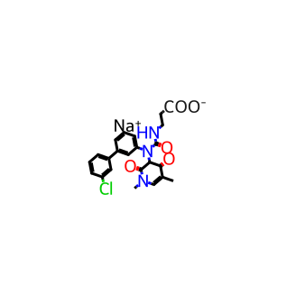 CC1=CN(C)C(=O)C(N(C(=O)NCCC(=O)[O-])c2cccc(-c3cccc(Cl)c3)c2)C1=O.[Na+]